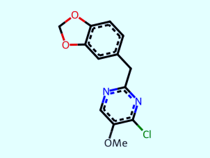 COc1cnc(Cc2ccc3c(c2)OCO3)nc1Cl